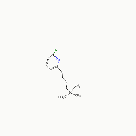 CC(C)(CCCCc1cccc(Br)n1)C(=O)O